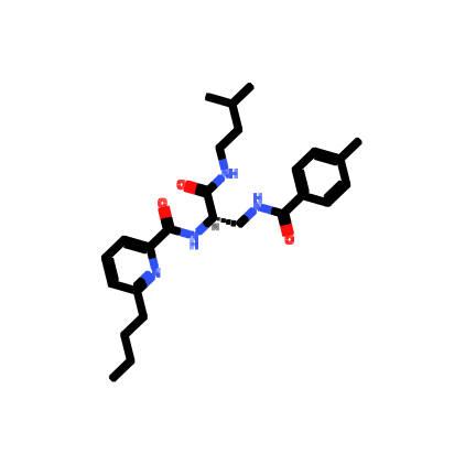 CCCCc1cccc(C(=O)N[C@@H](CNC(=O)c2ccc(C)cc2)C(=O)NCCC(C)C)n1